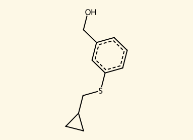 OCc1cccc(SCC2CC2)c1